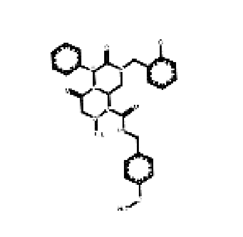 COc1ccc(CNC(=O)N2C3CN(Cc4ccccc4Cl)C(=O)[C@H](c4ccccc4)N3C(=O)CN2C)cc1